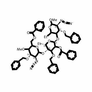 CCC1OC(OC)[C@@H](N=[N+]=[N-])[C@H](OCc2ccccc2)C1O[C@@H]1O[C@@H](CC)[C@@H](OC2OC(COC(=O)c3ccccc3)C(OC)[C@@H](OCc3ccccc3)[C@@H]2N=[N+]=[N-])C(OCc2ccccc2)C1OC(=O)c1ccccc1